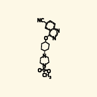 CS(=O)(=O)N1CCN(C2CCC(Oc3ncnc4ccc(C#N)cc34)CC2)CC1